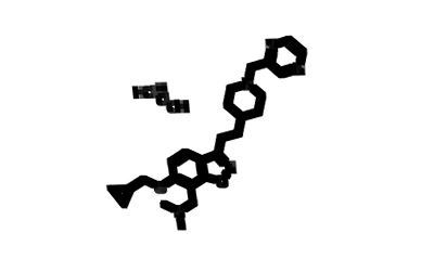 CN(C)Cc1c(OCC2CC2)ccc2c(CCC3CCN(Cc4cnccn4)CC3)noc12.Cl.Cl.Cl